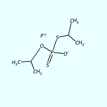 CC(C)OP([O-])(=S)SC(C)C.[P+]